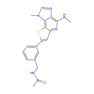 CNc1nc2cc(-c3cccc(CNC(C)=O)c3)sc2c2c1ncn2C